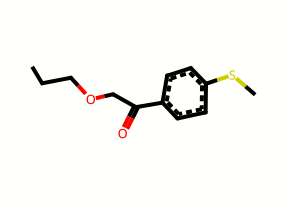 CCCOCC(=O)c1ccc(SC)cc1